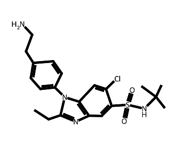 CCc1nc2cc(S(=O)(=O)NC(C)(C)C)c(Cl)cc2n1-c1ccc(CCN)cc1